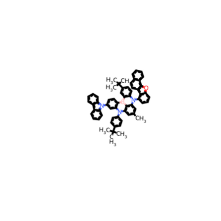 Cc1cc2c3c(c1)N(c1cccc4oc5c6ccccc6ccc5c14)c1ccc(C(C)(C)C)cc1B3c1ccc(-n3c4ccccc4c4ccccc43)cc1N2c1ccc(C(C)(C)C)cc1